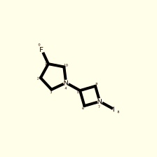 FC1CCN(C2CN(I)C2)C1